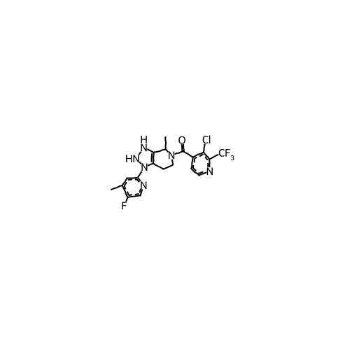 Cc1cc(N2NNC3=C2CCN(C(=O)c2ccnc(C(F)(F)F)c2Cl)C3C)ncc1F